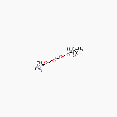 CC(C)(I)NCCOCCOCCOCCOCC(=O)C(C)(C)C